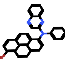 Brc1ccc2ccc3c(N(c4ccccc4)c4cnc5ccccc5n4)ccc4ccc1c2c43